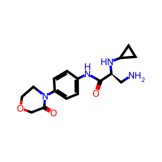 NC[C@H](NC1CC1)C(=O)Nc1ccc(N2CCOCC2=O)cc1